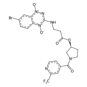 O=C(CCNc1n[n+]([O-])c2cc(Br)ccc2[n+]1[O-])O[C@H]1CCN(C(=O)c2ccnc(C(F)(F)F)c2)C1